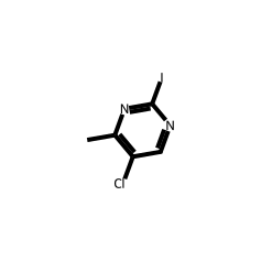 Cc1nc(I)ncc1Cl